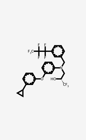 O[C@H](CN(Cc1cccc(C(F)(F)C(F)(F)C(F)(F)F)c1)c1cccc(Oc2cccc(C3CC3)c2)c1)C(F)(F)F